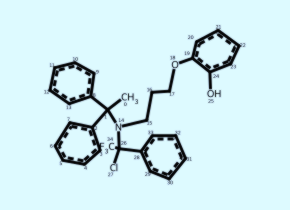 CC(c1ccccc1)(c1ccccc1)N(CCCOc1ccccc1O)C(Cl)(c1ccccc1)C(F)(F)F